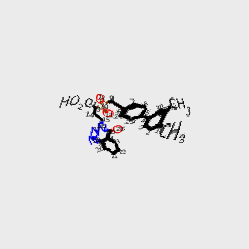 Cc1ccc(-c2ccc(CS(=O)(=O)C(CCn3nnc4ccccc4c3=O)C(=O)O)cc2)cc1C